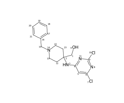 OCC1(Nc2cc(Cl)nc(Cl)n2)CCN(Cc2ccccc2)CC1